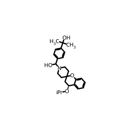 CC(C)O[C@H]1CC2(CCN(C(O)c3ccc(C(C)(C)O)cc3)CC2)Oc2ccccc21